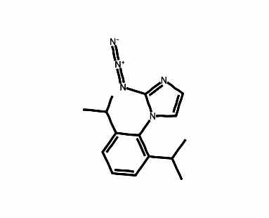 CC(C)c1cccc(C(C)C)c1-n1ccnc1N=[N+]=[N-]